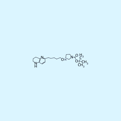 CC(C)(C)OC(=O)N1CC[C@@H](OCCCCCc2ccc3c(n2)CCCN3)C1